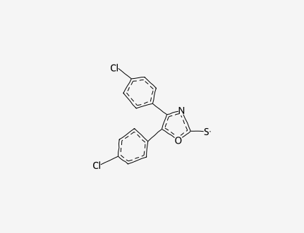 [S]c1nc(-c2ccc(Cl)cc2)c(-c2ccc(Cl)cc2)o1